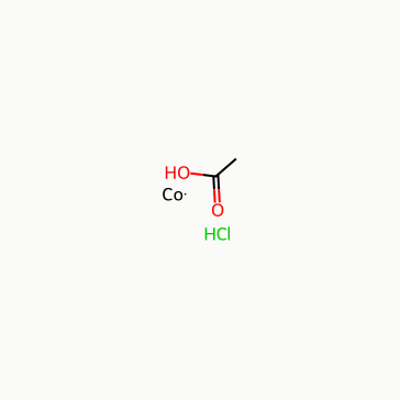 CC(=O)O.Cl.[Co]